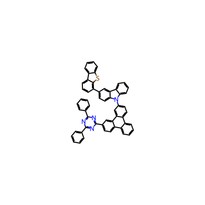 c1ccc(-c2nc(-c3ccccc3)nc(-c3ccc4c5ccccc5c5ccc(-n6c7ccccc7c7cc(-c8cccc9c8sc8ccccc89)ccc76)cc5c4c3)n2)cc1